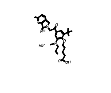 Br.CCCN(C)c1cc(C(=O)CN2Cc3ccc(C)nc3C2=N)cc(C(C)(C)C)c1OCCCCC(=O)O